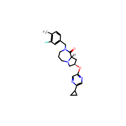 O=C1[C@@H]2C[C@@H](Oc3cnc(C4CC4)cn3)CN2CCCN1Cc1ccc(C(F)(F)F)c(F)c1